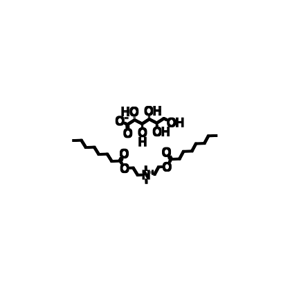 CCCCCCCC(=O)OCC[N+](C)(C)CCOC(=O)CCCCCCC.O=C([O-])[C@H](O)[C@@H](O)[C@H](O)[C@H](O)CO